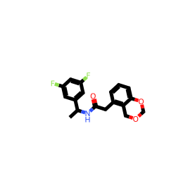 CC(NC(=O)Cc1cccc2c1COCO2)c1cc(F)cc(F)c1